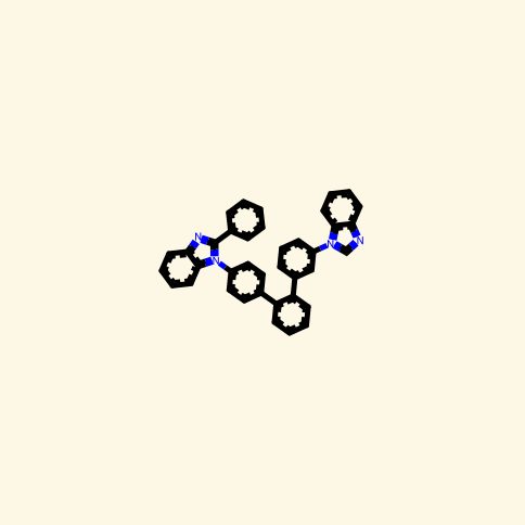 c1ccc(-c2nc3ccccc3n2-c2ccc(-c3ccccc3-c3cccc(-n4cnc5ccccc54)c3)cc2)cc1